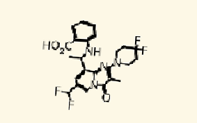 Cc1c(N2CCC(F)(F)CC2)nc2c([C@@H](C)Nc3ccccc3C(=O)O)cc(C(F)F)cn2c1=O